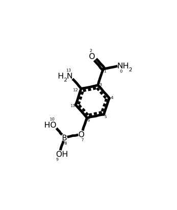 NC(=O)c1ccc(OB(O)O)cc1N